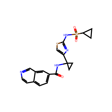 O=C(NC1(c2csc(NS(=O)(=O)C3CC3)n2)CC1)c1ccc2ccncc2c1